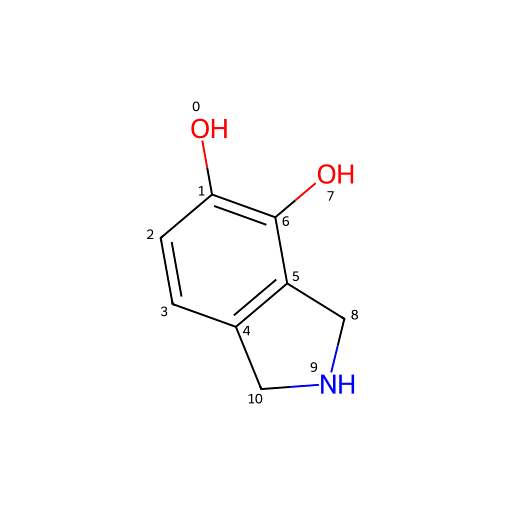 Oc1ccc2c(c1O)CNC2